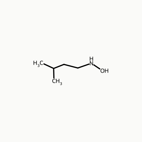 CC(C)CCNO